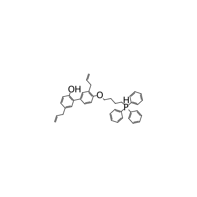 C=CCc1ccc(O)c(-c2ccc(OCCCC[PH](c3ccccc3)(c3ccccc3)c3ccccc3)c(CC=C)c2)c1